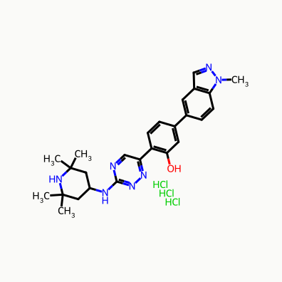 Cl.Cl.Cl.Cn1ncc2cc(-c3ccc(-c4cnc(NC5CC(C)(C)NC(C)(C)C5)nn4)c(O)c3)ccc21